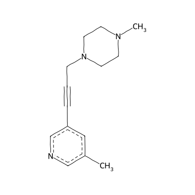 Cc1cncc(C#CCN2CCN(C)CC2)c1